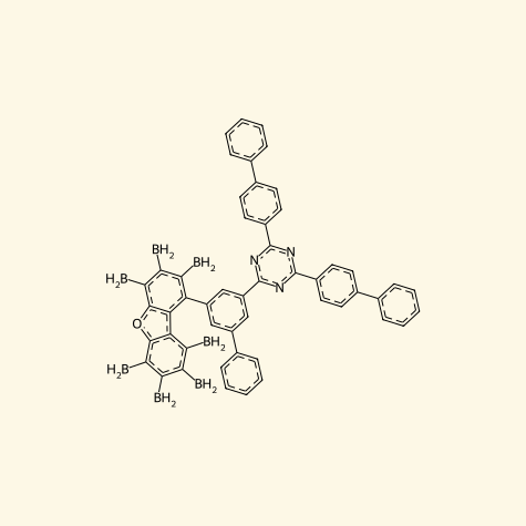 Bc1c(B)c(B)c2c(oc3c(B)c(B)c(B)c(-c4cc(-c5ccccc5)cc(-c5nc(-c6ccc(-c7ccccc7)cc6)nc(-c6ccc(-c7ccccc7)cc6)n5)c4)c32)c1B